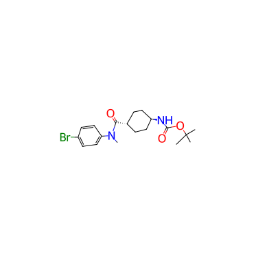 CN(c1ccc(Br)cc1)C(=O)[C@H]1CC[C@H](NC(=O)OC(C)(C)C)CC1